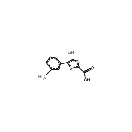 Cc1cccc(-c2cnc(C(=O)O)s2)c1.[LiH]